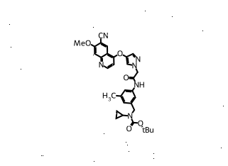 COc1cc2nccc(Oc3cnn(CC(=O)Nc4cc(C)cc(CN(C(=O)OC(C)(C)C)C5CC5)c4)c3)c2cc1C#N